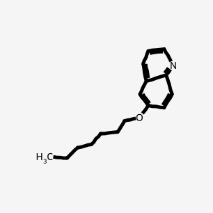 CCCCCCCOc1ccc2ncccc2c1